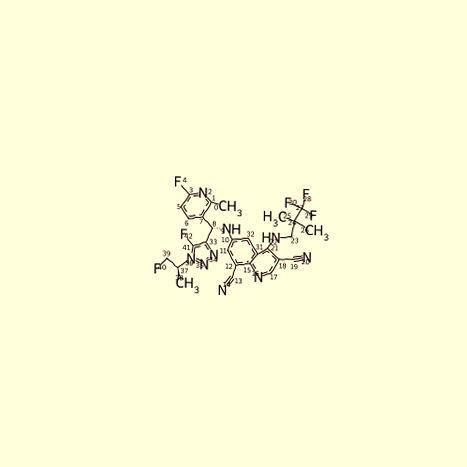 Cc1nc(F)ccc1[C@H](Nc1cc(C#N)c2ncc(C#N)c(NCC(C)(C)C(F)(F)F)c2c1)c1nnn([C@@H](C)CF)c1F